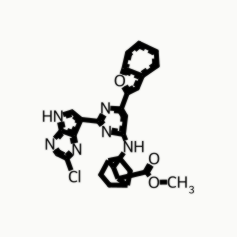 COC(=O)C1C2CCC(CC2)C1Nc1cc(-c2cc3ccccc3o2)nc(-c2c[nH]c3ncc(Cl)nc23)n1